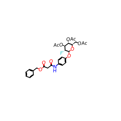 CC(=O)OC[C@H]1O[C@@H](Oc2ccc(NC(=O)CC(=O)OCc3ccccc3)cc2)[C@H](F)[C@@H](OC(C)=O)[C@@H]1OC(C)=O